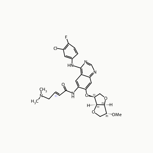 CO[C@@H]1CO[C@@H]2[C@H]1OC[C@@H]2Oc1cc2ncnc(Nc3ccc(F)c(Cl)c3)c2cc1NC(=O)/C=C/CN(C)C